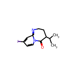 CC(C)C1CCN=C2C=C(I)C=CN2C1=O